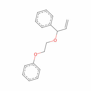 C=CC(OCCOc1ccccc1)c1ccccc1